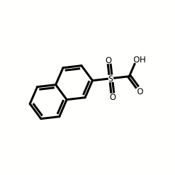 O=C(O)S(=O)(=O)c1ccc2ccccc2c1